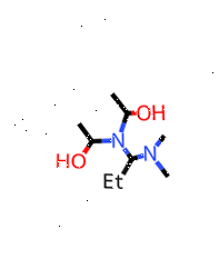 CCC(N(C)C)N(C(C)O)C(C)O